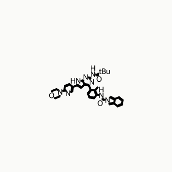 Cc1c(NC(=O)n2cc3ccccc3c2)cccc1-c1nc(NC(=O)C(C)(C)C)nc2[nH]c(-c3ccc(N4CCOCC4)nc3)cc12